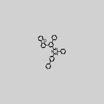 c1ccc(-c2ccc(-c3nc(-c4ccccc4)nc(-c4cc(-c5ccccc5)cc(-c5cccc6c5oc5ccccc56)c4)n3)cc2)cc1